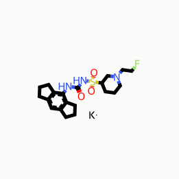 O=C(Nc1c2c(cc3c1CCC3)CCC2)NS(=O)(=O)C1CCCN(CCF)C1.[K]